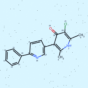 Cc1[nH]c(C)c(-c2ccc(-c3ccccc3)nc2)c(=O)c1Cl